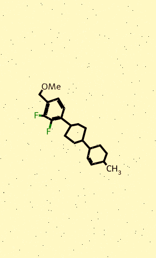 COCc1ccc(C2CCC(C3C=CC(C)CC3)CC2)c(F)c1F